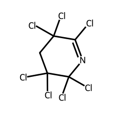 ClC1=NC(Cl)(Cl)C(Cl)(Cl)CC1(Cl)Cl